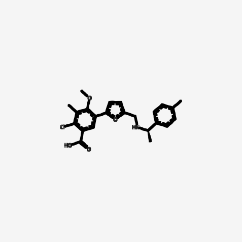 COc1c(-c2ccc(CN[C@H](C)c3ccc(C)cc3)o2)cc(C(=O)O)c(Cl)c1C